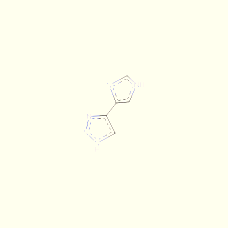 c1nc(-c2c[nH]nn2)c[nH]1